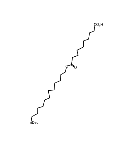 CCCCCCCCCCCCCCCCCCCCCCOC(=O)CCCCCCCCC(=O)O